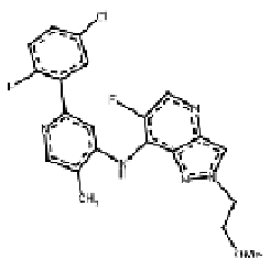 COCCn1cc2ncc(F)c(Nc3cc(-c4cc(Cl)ccc4F)ncc3C)c2n1